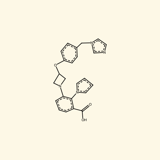 O=C(O)c1cccc(N2CC(Oc3ccc(Cn4ccnc4)cc3)C2)c1-n1cccc1